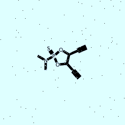 C#CC1OP(=S)(N(C)C)OC1C#C